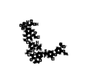 CC1COc2ccccc2N1C(=O)C(Cl)Cl.CCNc1nc(Cl)nc(NC(C)(C)C)n1.CCOc1cc(Oc2ccc(C(F)(F)F)cc2Cl)ccc1[N+](=O)[O-].CCc1cccc(C)c1N(C(=O)CCl)C(C)COC.O=C(O)CNCP(=O)(O)O